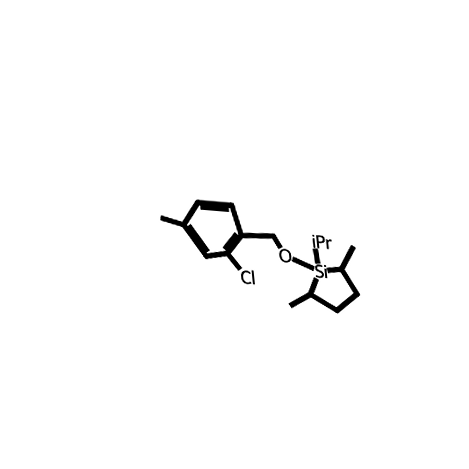 Cc1ccc(CO[Si]2(C(C)C)C(C)CCC2C)c(Cl)c1